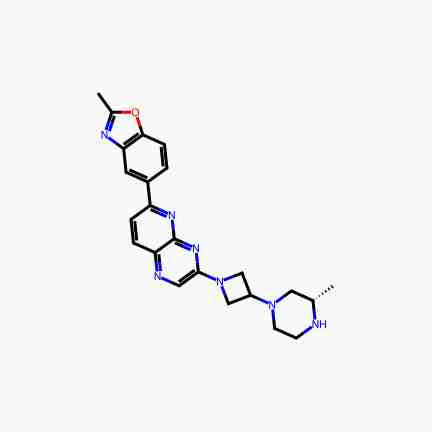 Cc1nc2cc(-c3ccc4ncc(N5CC(N6CCN[C@@H](C)C6)C5)nc4n3)ccc2o1